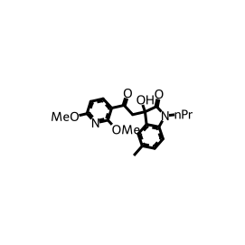 CCCN1C(=O)C(O)(CC(=O)c2ccc(OC)nc2OC)c2cc(C)ccc21